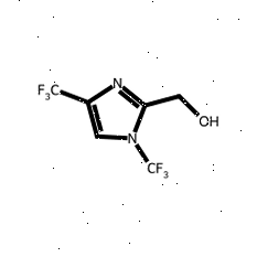 OCc1nc(C(F)(F)F)cn1C(F)(F)F